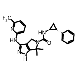 CC1(C)c2[nH]nc(Nc3cccc(C(F)(F)F)n3)c2CN1C(=O)N[C@H]1C[C@@H]1c1ccccc1